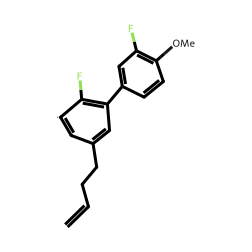 C=CCCc1c[c]c(F)c(-c2ccc(OC)c(F)c2)c1